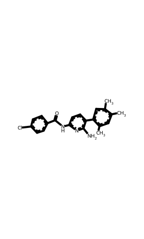 Cc1cc(C)c(-c2ccc(NC(=O)c3ccc(Cl)cc3)nc2N)cc1C